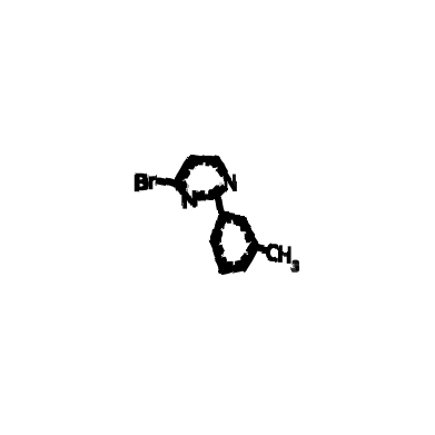 Cc1cccc(-c2nccc(Br)n2)c1